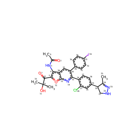 CC(=O)Nc1c(C(=O)C(C)(C)O)oc2nc(-c3ccc(C4CNN=C4C)cc3Cl)c(-c3ccc(I)cc3)cc12